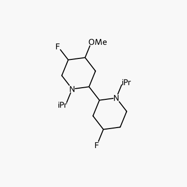 COC1CC(C2CC(F)CCN2C(C)C)N(C(C)C)CC1F